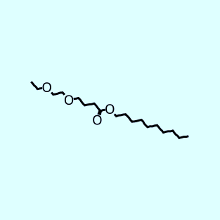 CCCCCCCCCCOC(=O)CCCOCCOCC